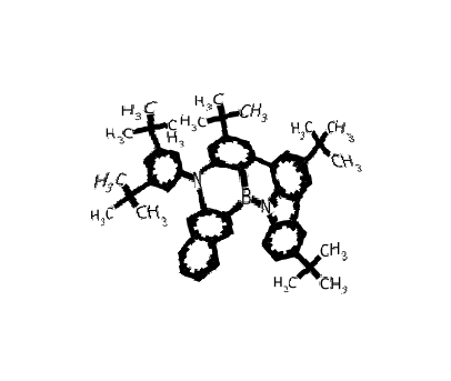 CC(C)(C)c1cc(N2c3cc4ccccc4cc3B3c4c(cc(C(C)(C)C)cc42)-c2cc(C(C)(C)C)cc4c5cc(C(C)(C)C)ccc5n3c24)cc(C(C)(C)C)c1